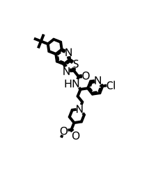 COC(=O)C1CCN(CCC(NC(=O)c2nc3cc4c(nc3s2)CCC(C(C)(C)C)C4)c2ccc(Cl)nc2)CC1